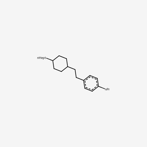 CCCCCCCC1CCC(CCc2ccc(CCC)cc2)CC1